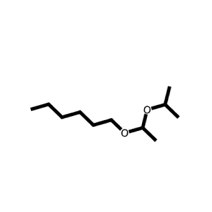 CCCCCCOC(C)OC(C)C